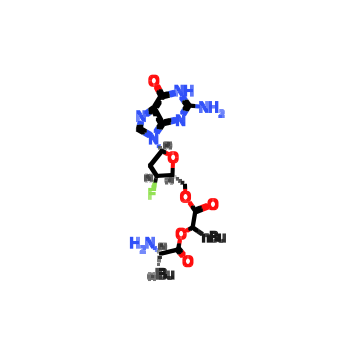 CCCCC(OC(=O)[C@@H](N)[C@@H](C)CC)C(=O)OC[C@H]1O[C@@H](n2cnc3c(=O)[nH]c(N)nc32)C[C@@H]1F